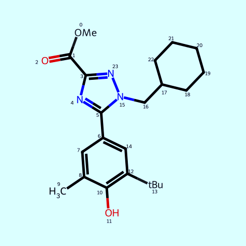 COC(=O)c1nc(-c2cc(C)c(O)c(C(C)(C)C)c2)n(CC2CCCCC2)n1